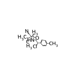 Cc1ccc(C(Cl)C(=O)NC(C)(C#N)C(C)C)cc1